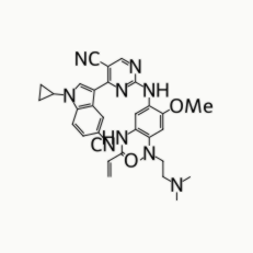 C=CC(=O)Nc1cc(Nc2ncc(C#N)c(-c3cn(C4CC4)c4ccc(C#N)cc34)n2)c(OC)cc1N(C)CCN(C)C